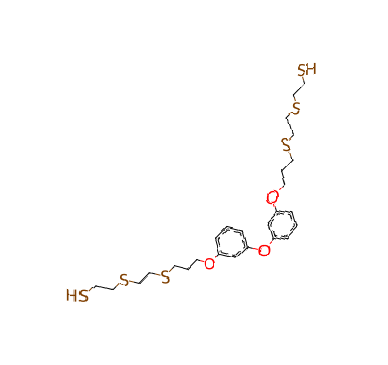 SCCSCCSCCCOc1cccc(Oc2cccc(OCCCSCCSCCS)c2)c1